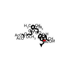 CC[C@]12C[C@H]([C@](C)(O)C(C)(C)C)[C@]3(OC)[C@H]4Oc5c(OC(=O)CC(C)(C)c6c(C)cc(C)cc6OC(=O)CC(C)CC(=O)OC(COC(C)=O)COC(C)=O)ccc6c5[C@@]1(CCN(CC1CC1)C2C6)[C@@H]43